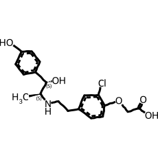 C[C@H](NCCc1ccc(OCC(=O)O)c(Cl)c1)[C@@H](O)c1ccc(O)cc1